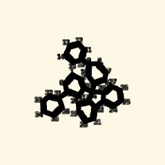 [c]1ccc(C2(c3cc[c]c(-c4ccccc4)c3)c3ccccc3-c3ccccc32)cc1-c1ccccc1